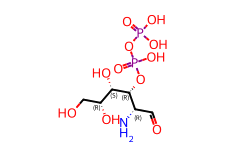 N[C@@H](C=O)[C@@H](OP(=O)(O)OP(=O)(O)O)[C@@H](O)[C@H](O)CO